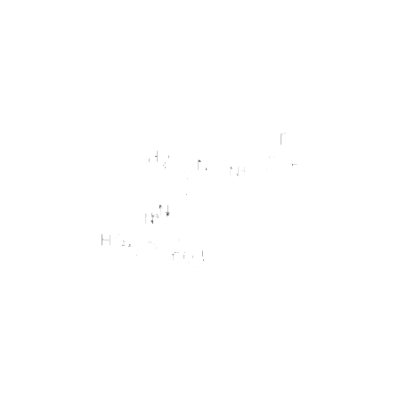 Cc1nc(N2CC3C(C2)C3(F)F)ccc1Cn1cc(C(=O)O)c(CO)n1